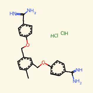 Cc1ccc(COc2ccc(C(=N)N)cc2)cc1COc1ccc(C(=N)N)cc1.Cl.Cl